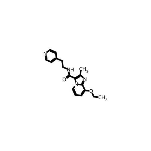 CCOc1cccn2c(C(=O)NCCc3ccncc3)c(C)nc12